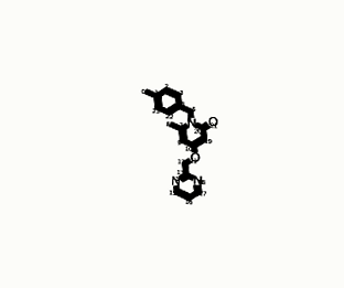 Cc1ccc(Cn2c(C)cc(OCc3ncccn3)cc2=O)cc1